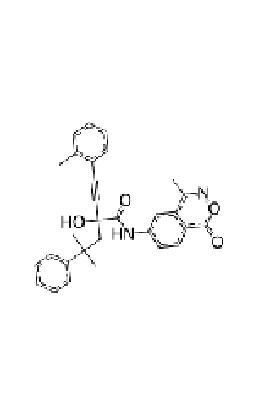 Cc1ccccc1C#CC(O)(CC(C)(C)c1ccccc1)C(=O)Nc1ccc2c(=O)onc(C)c2c1